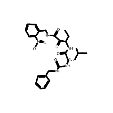 CCC(NC(=O)[C@H](CC(C)C)NC(=O)NCc1ccccc1)C(=O)C(=O)NCc1ccccc1[N+](=O)[O-]